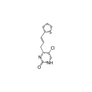 O=c1nc(CC=Cc2cccs2)c(Cl)c[nH]1